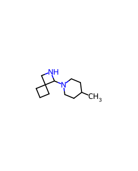 CC1CCN(C2NCC23CCC3)CC1